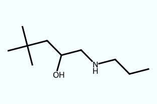 CCCNCC(O)CC(C)(C)C